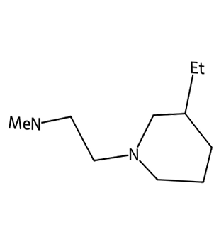 CCC1CCCN(CCNC)C1